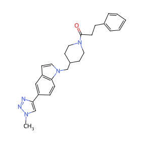 Cn1cc(-c2ccc3c(ccn3CC3CCN(C(=O)CCc4ccccc4)CC3)c2)nn1